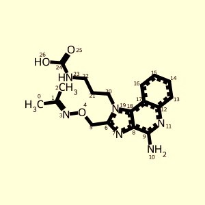 CC(C)=NOCc1nc2c(N)nc3ccccc3c2n1CCCNC(=O)O